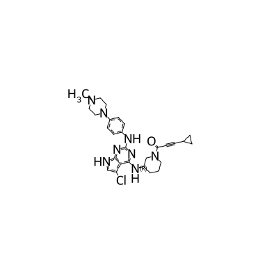 CN1CCN(c2ccc(Nc3nc(N[C@@H]4CCCN(C(=O)C#CC5CC5)C4)c4c(Cl)c[nH]c4n3)cc2)CC1